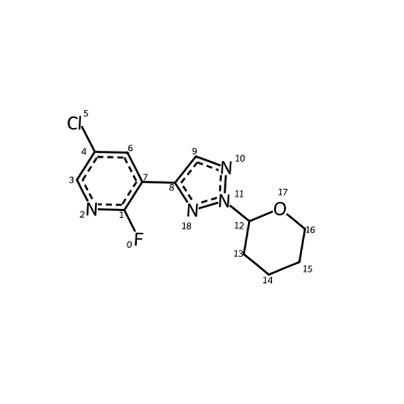 Fc1ncc(Cl)cc1-c1cnn(C2CCCCO2)n1